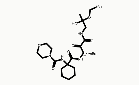 CCCC[C@H](NC(=O)C1(NC(=O)N2CCOCC2)CCCCC1)C(=O)C(=O)NCC(C)(O)OCC(C)(C)C